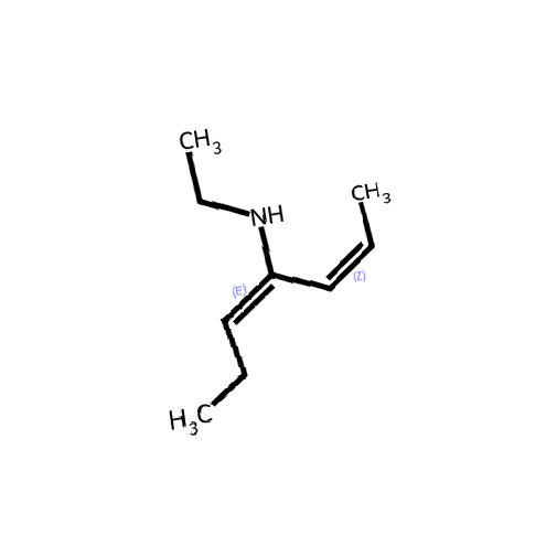 C/C=C\C(=C/CC)NCC